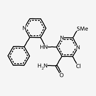 CSc1nc(Cl)c(C(N)=O)c(Nc2cccnc2-c2ccccc2)n1